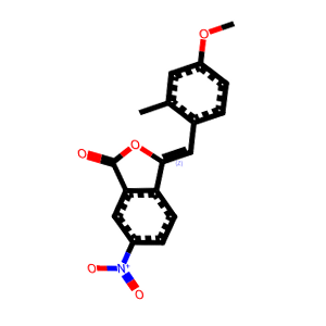 COc1ccc(/C=C2\OC(=O)c3cc([N+](=O)[O-])ccc32)c(C)c1